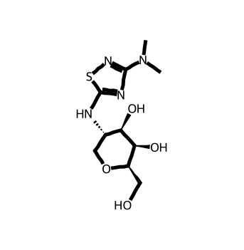 CN(C)c1nsc(N[C@H]2CO[C@H](CO)[C@H](O)[C@@H]2O)n1